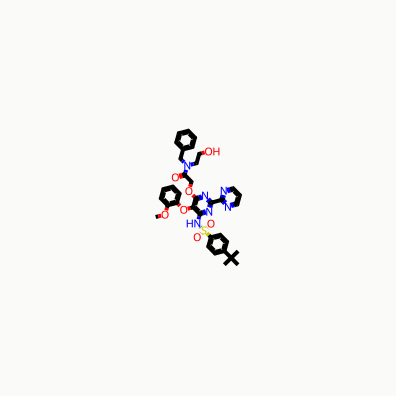 COc1ccccc1Oc1c(NS(=O)(=O)c2ccc(C(C)(C)C)cc2)nc(-c2ncccn2)nc1OCC(=O)N(CCO)Cc1ccccc1